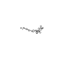 NCCOCCOCCN1CCC(Nc2cccc3c2CN(C2CCC(=O)NC2=O)C3=O)CC1